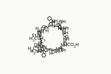 CCC(C)(C)N[C@H]1CSSC[C@@H](C(=O)N[C@H](C(N)=O)[C@@H](C)O)NC(=O)[C@H](CC2CNc3ccccc32)NC(=O)[C@H](C(C)C)NC(=O)[C@H](CC(C)C)NC(=O)[C@H](CCC(=O)O)NC(=O)CNC(=O)[C@H](CC(C)C)NC(=O)[C@H](CC2CNCN2)NC(=O)[C@H](CC2CNc3ccccc32)NC(=O)[C@H](C)NC1=O